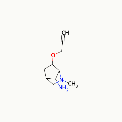 C#CCOC1CC2CN(C)C1C2N